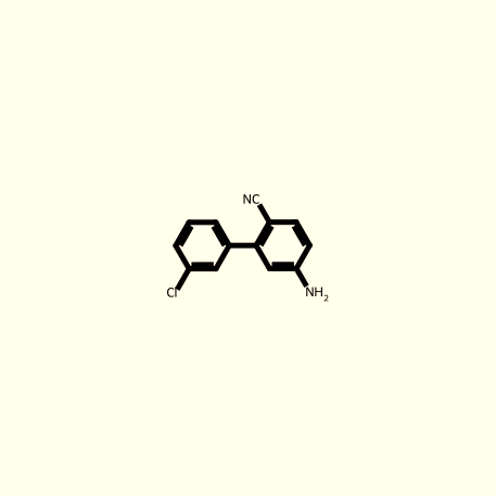 N#Cc1ccc(N)cc1-c1cccc(Cl)c1